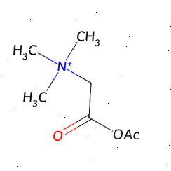 CC(=O)OC(=O)C[N+](C)(C)C